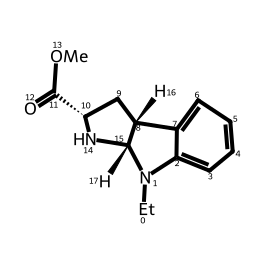 CCN1c2ccccc2[C@H]2C[C@@H](C(=O)OC)N[C@H]21